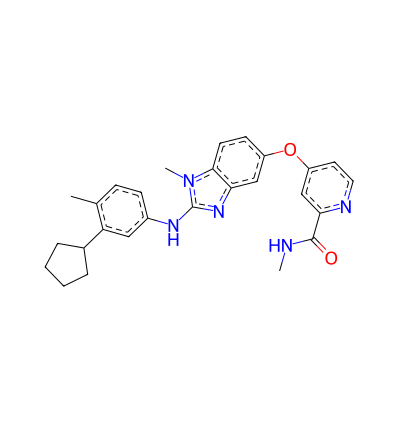 CNC(=O)c1cc(Oc2ccc3c(c2)nc(Nc2ccc(C)c(C4CCCC4)c2)n3C)ccn1